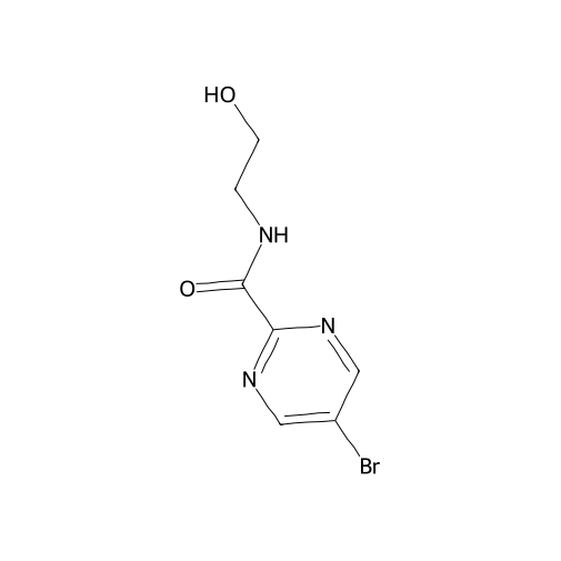 O=C(NCCO)c1ncc(Br)cn1